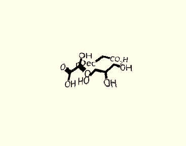 CCCCCCCCCCCC(=O)O.O=C(O)C(=O)O.OCC(O)CO